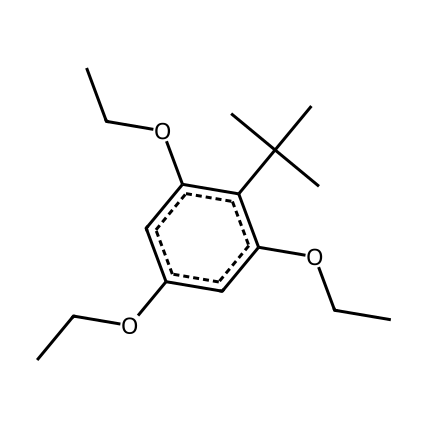 CCOc1cc(OCC)c(C(C)(C)C)c(OCC)c1